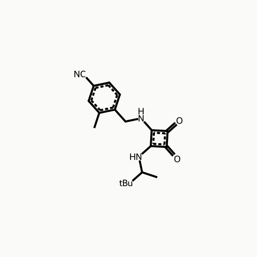 Cc1cc(C#N)ccc1CNc1c(NC(C)C(C)(C)C)c(=O)c1=O